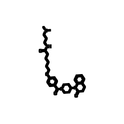 CN(C)CCCNC(=O)CCCCCOc1ccc(C(=O)N2CCC(N3C(=O)CCc4ccccc43)CC2)cc1